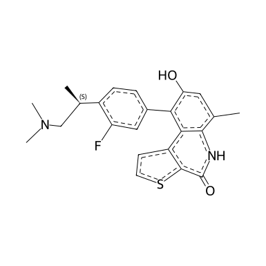 Cc1cc(O)c(-c2ccc([C@H](C)CN(C)C)c(F)c2)c2c1[nH]c(=O)c1sccc12